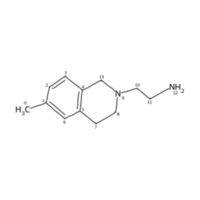 Cc1ccc2c(c1)CCN(CCN)C2